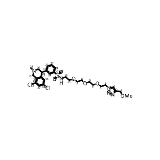 COCc1cn(CCOCCOCCOCCNS(=O)(=O)c2cccc(C3CN(C)Cc4c(Cl)cc(Cl)cc43)c2)nn1